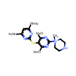 COc1nc([N+]2(C)CCNCC2)nc(OC)c1Sc1nc(NC(C)=O)cc(NC(C)=O)n1